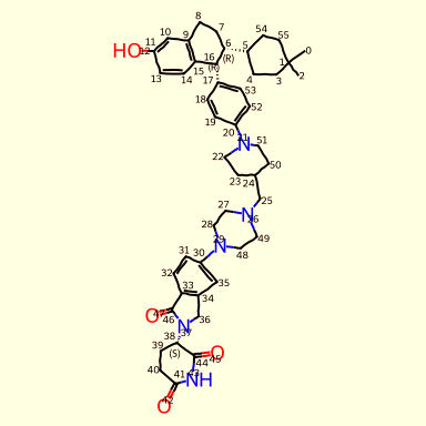 CC1(C)CCC([C@H]2CCc3cc(O)ccc3[C@H]2c2ccc(N3CCC(CN4CCN(c5ccc6c(c5)CN([C@H]5CCC(=O)NC5=O)C6=O)CC4)CC3)cc2)CC1